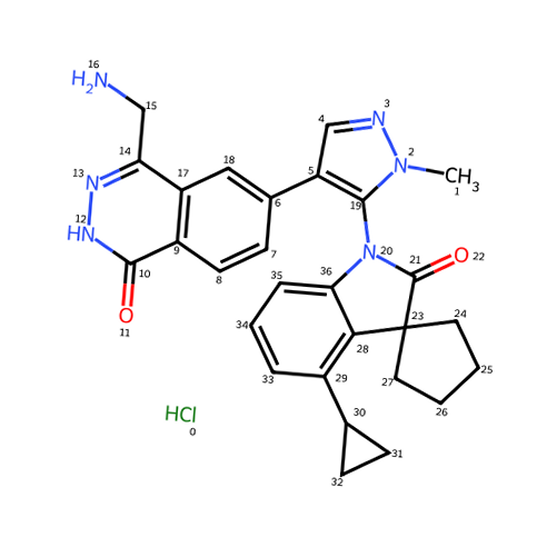 Cl.Cn1ncc(-c2ccc3c(=O)[nH]nc(CN)c3c2)c1N1C(=O)C2(CCCC2)c2c(C3CC3)cccc21